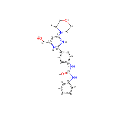 CC1COCCN1c1cc(CO)nc(-c2ccc(NC(=O)Nc3ccccc3)cc2)n1